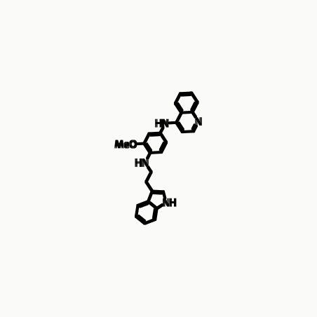 COc1cc(Nc2ccnc3ccccc23)ccc1NCCc1c[nH]c2ccccc12